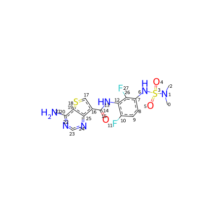 CN(C)S(=O)(=O)Nc1ccc(F)c(NC(=O)c2csc3c(N)ncnc23)c1F